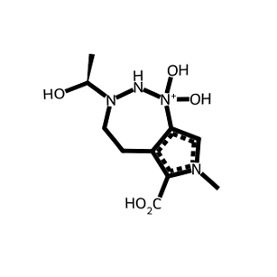 C[C@H](O)N1CCc2c(cn(C)c2C(=O)O)[N+](O)(O)N1